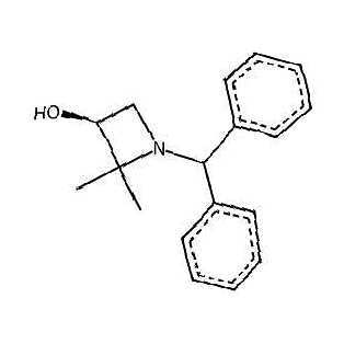 CC1(C)[C@@H](O)CN1C(c1ccccc1)c1ccccc1